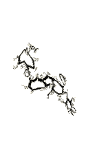 Cc1noc(C)c1CN1CC(C)n2c(cc3cc(OC4CCN(C(C)C)CC4)ccc32)C1=O